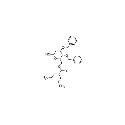 CCCC(CCC)C(=O)OC[C@H]1OC(O)C[C@@H](OCc2ccccc2)[C@@H]1OCc1ccccc1